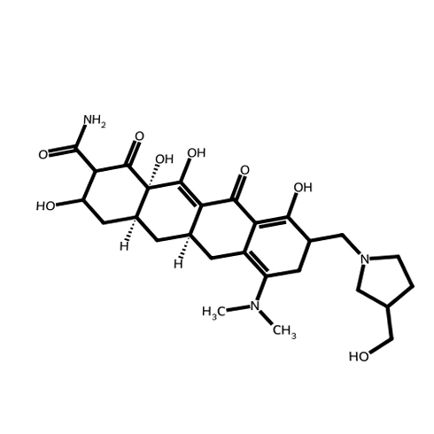 CN(C)C1=C2C[C@H]3C[C@H]4CC(O)C(C(N)=O)C(=O)[C@@]4(O)C(O)=C3C(=O)C2=C(O)C(CN2CCC(CO)C2)C1